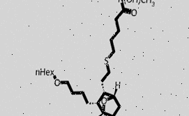 CCCCCCOCCCC[C@@H]1[C@H](CCSCCCCC(=O)N(C)O)[C@@H]2CC[C@H]1O2